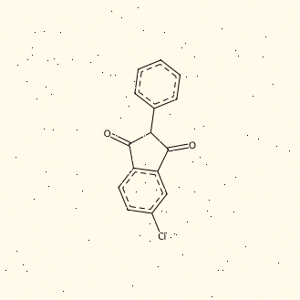 O=C1c2ccc(Cl)cc2C(=O)C1c1ccccc1